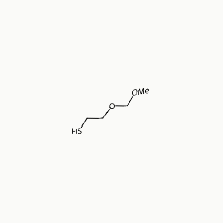 COCOCCS